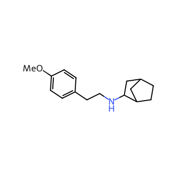 COc1ccc(CCNC2CC3CCC2C3)cc1